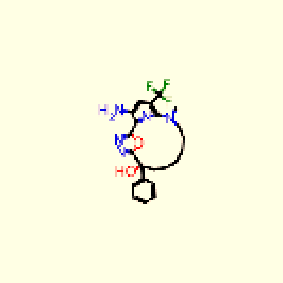 CN1CCCCCCC(O)(c2ccccc2)c2nnc(o2)-c2nc1c(C(F)(F)F)cc2N